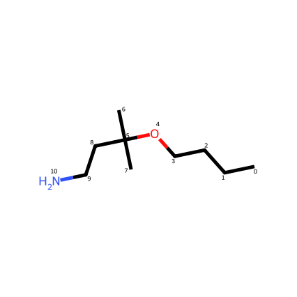 CCCCOC(C)(C)CCN